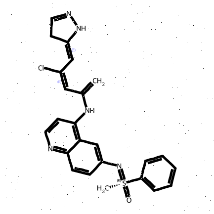 C=C(/C=C(Cl)\C=C1/CC=NN1)Nc1ccnc2ccc(N=[S@](C)(=O)c3ccccc3)cc12